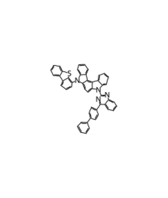 c1ccc(-c2ccc(-c3nc(-n4c5ccccc5c5c6c7ccccc7n(-c7cccc8c7sc7ccccc78)c6ccc54)nc4ccccc34)cc2)cc1